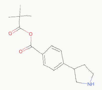 CC(C)(C)C(=O)OC(=O)c1ccc(C2CCNC2)cc1